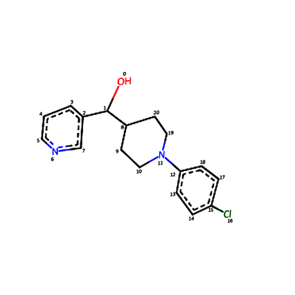 OC(c1cccnc1)C1CCN(c2ccc(Cl)cc2)CC1